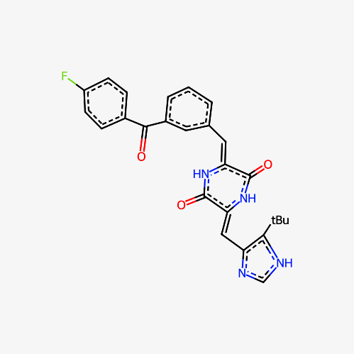 CC(C)(C)c1[nH]cnc1C=c1[nH]c(=O)c(=Cc2cccc(C(=O)c3ccc(F)cc3)c2)[nH]c1=O